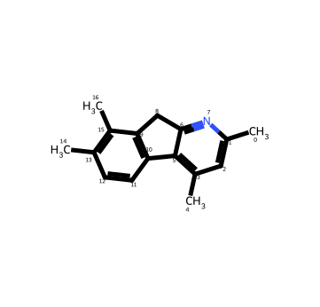 Cc1cc(C)c2c(n1)Cc1c-2ccc(C)c1C